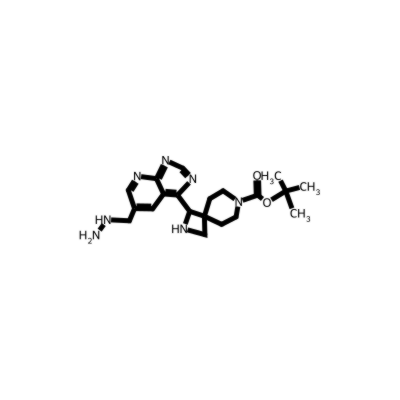 CC(C)(C)OC(=O)N1CCC2(CC1)CNC2c1ncnc2ncc(CNN)cc12